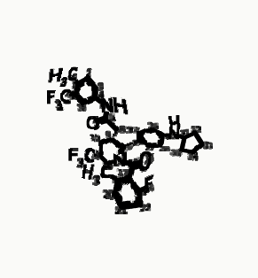 Cc1ccc(NC(=O)C[C@H]2C[C@@H](C(F)(F)F)CN(C(=O)c3c(C)cccc3F)[C@H]2c2ccc(NC3CCCC3)cc2)cc1C(F)(F)F